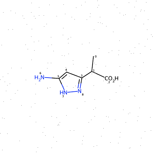 CC(C(=O)O)c1cc(N)[nH]n1